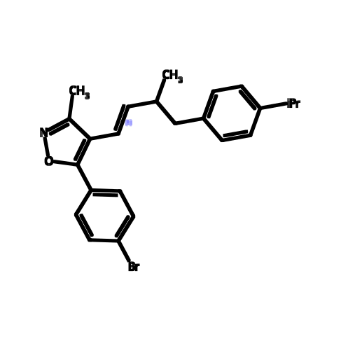 Cc1noc(-c2ccc(Br)cc2)c1/C=C/C(C)Cc1ccc(C(C)C)cc1